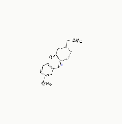 COCC1CC/C(=C/c2cccc(OC)c2)C(=O)C1